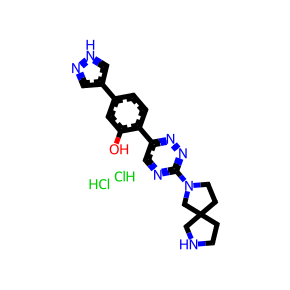 Cl.Cl.Oc1cc(-c2cn[nH]c2)ccc1-c1cnc(N2CCC3(CCNC3)C2)nn1